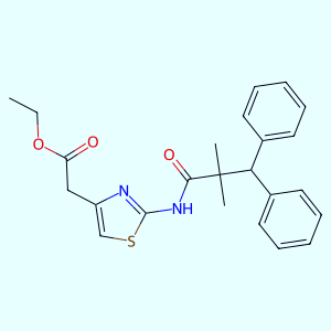 CCOC(=O)Cc1csc(NC(=O)C(C)(C)C(c2ccccc2)c2ccccc2)n1